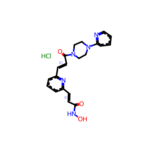 Cl.O=C(/C=C/c1cccc(/C=C/C(=O)N2CCN(c3ccccn3)CC2)n1)NO